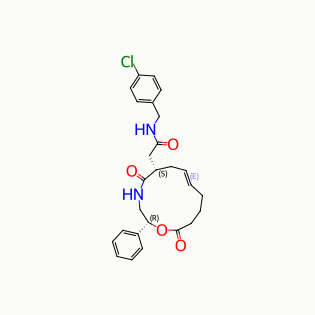 O=C(C[C@@H]1C/C=C/CCCC(=O)O[C@H](c2ccccc2)CNC1=O)NCc1ccc(Cl)cc1